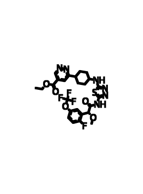 CCOC(=O)c1cnnc(C2CCC(Nc3nnc(NC(=O)[C@@H](OC)c4cc(OC(F)(F)F)ccc4F)s3)CC2)c1